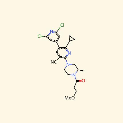 COCCC(=O)N1CCN(c2nc(C3CC3)c(-c3cc(Cl)nc(Cl)c3)cc2C#N)C[C@H]1C